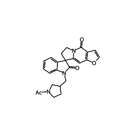 CC(=O)N1CCC(CN2C(=O)C3(CCn4c3cc3occc3c4=O)c3ccccc32)C1